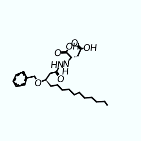 CCCCCCCCCCC[C@H](CC(=O)NN[C@@H](CC(=O)O)C(=O)O)OCc1ccccc1